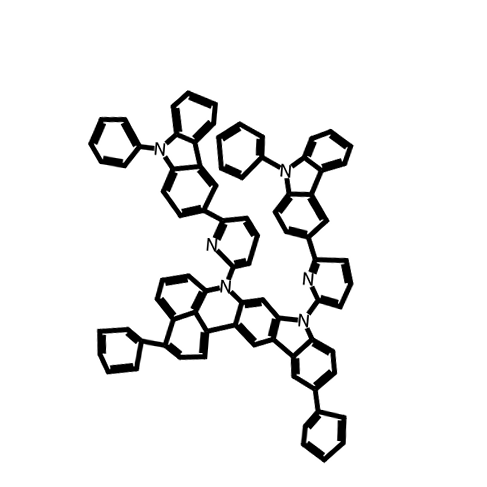 c1ccc(-c2ccc3c(c2)c2cc4c(cc2n3-c2cccc(-c3ccc5c(c3)c3ccccc3n5-c3ccccc3)n2)N(c2cccc(-c3ccc5c(c3)c3ccccc3n5-c3ccccc3)n2)c2cccc3c(-c5ccccc5)ccc-4c23)cc1